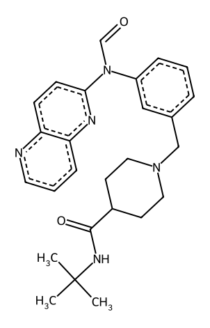 CC(C)(C)NC(=O)C1CCN(Cc2cccc(N(C=O)c3ccc4ncccc4n3)c2)CC1